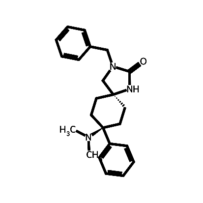 CN(C)[C@]1(c2ccccc2)CC[C@]2(CC1)CN(Cc1ccccc1)C(=O)N2